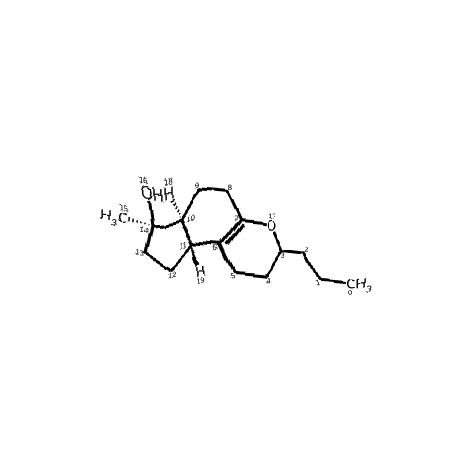 CCCC1CCC2=C(CC[C@H]3[C@H]2CC[C@@]3(C)O)O1